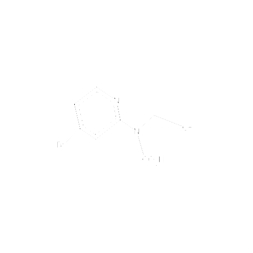 O=C(O)N(CC(F)(F)F)c1cc(Br)ccn1